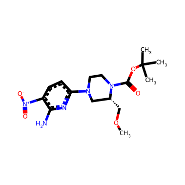 COC[C@@H]1CN(c2ccc([N+](=O)[O-])c(N)n2)CCN1C(=O)OC(C)(C)C